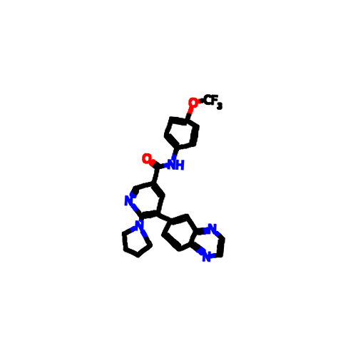 O=C(Nc1ccc(OC(F)(F)F)cc1)c1cnc(N2CCCC2)c(-c2ccc3nccnc3c2)c1